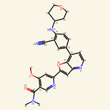 COc1cc(-c2cc3nccc(-c4ccc(NC5CCOCC5)c(C#N)c4)c3o2)ncc1C(=O)N(C)C